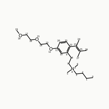 CCCC[N+](C)(C)CCc1cc(OCCOCCOC)ccc1C(C)=C(C)C